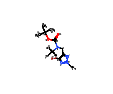 [2H]C([2H])([2H])N(Cc1nn(C)nc1Br)C(=O)OC(C)(C)C